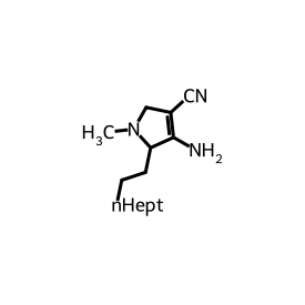 CCCCCCCCCC1C(N)=C(C#N)CN1C